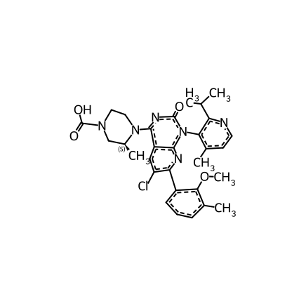 COc1c(C)cccc1-c1nc2c(cc1Cl)c(N1CCN(C(=O)O)C[C@@H]1C)nc(=O)n2-c1c(C)ccnc1C(C)C